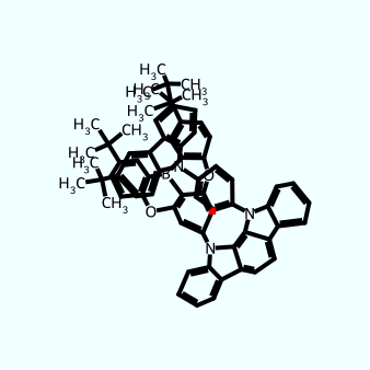 CC(C)(C)c1ccc2c(c1)B1c3cc(C(C)(C)C)ccc3Oc3cc(-n4c5ccccc5c5ccc6c7ccccc7n(-c7ccc(-n8c9ccc(C(C)(C)C)cc9c9cc(C(C)(C)C)ccc98)cc7)c6c54)cc(c31)O2